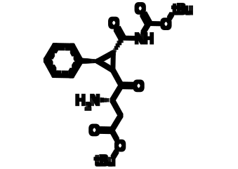 CC(C)(C)OC(=O)C[C@H](N)C(=O)C1[C@@H](C(=O)NC(=O)OC(C)(C)C)[C@@H]1c1ccccc1